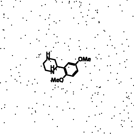 COc1ccc(OC)c(C2CNCCN2)c1